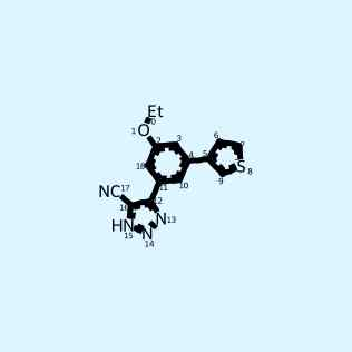 CCOc1cc(-c2ccsc2)cc(-c2nn[nH]c2C#N)c1